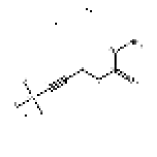 C[Si](C)(C)C#CCCC(=O)ON